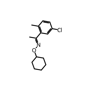 C/C(=N\OC1CCCCC1)c1cc(Cl)ccc1C